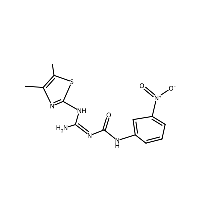 Cc1nc(NC(N)=NC(=O)Nc2cccc([N+](=O)[O-])c2)sc1C